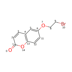 O=c1ccc2cc(OCCBr)ccc2o1